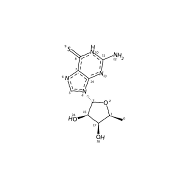 C[C@@H]1O[C@@H](n2cnc3c(=S)[nH]c(N)nc32)[C@H](O)[C@@H]1O